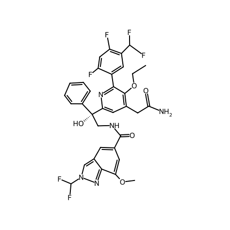 CCOc1c(CC(N)=O)cc([C@@](O)(CNC(=O)c2cc(OC)c3nn(C(F)F)cc3c2)c2ccccc2)nc1-c1cc(C(F)F)c(F)cc1F